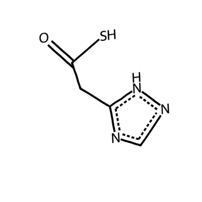 O=C(S)Cc1ncn[nH]1